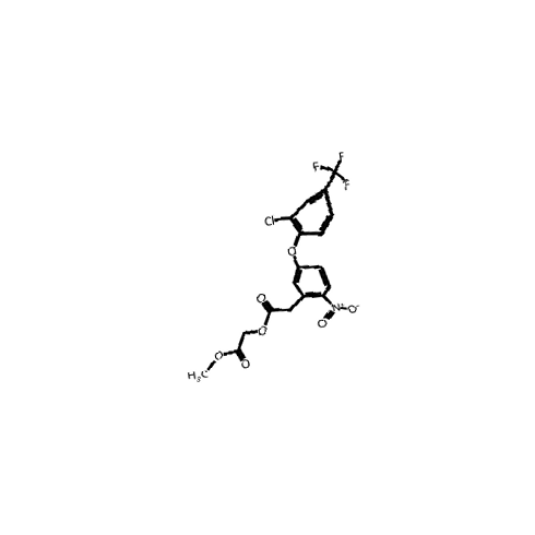 COC(=O)COC(=O)Cc1cc(Oc2ccc(C(F)(F)F)cc2Cl)ccc1[N+](=O)[O-]